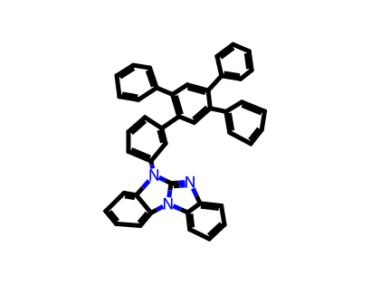 c1ccc(-c2cc(-c3ccccc3)c(-c3cccc(-n4c5ccccc5n5c6ccccc6nc45)c3)cc2-c2ccccc2)cc1